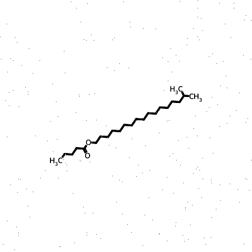 CCCCC(=O)OCCCCCCCCCCCCCCCC(C)C